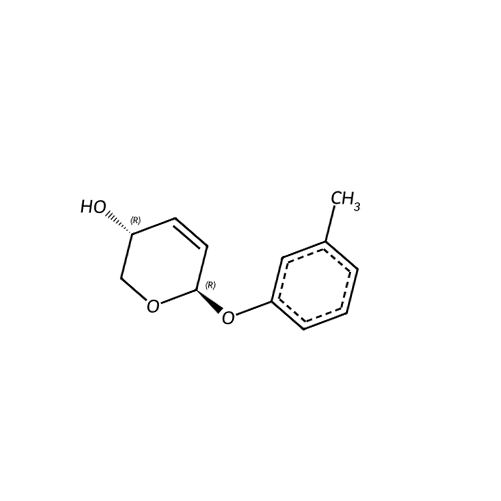 Cc1cccc(O[C@@H]2C=C[C@@H](O)CO2)c1